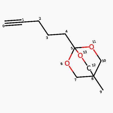 C#CCCCC12OCC(C)(CO1)CO2